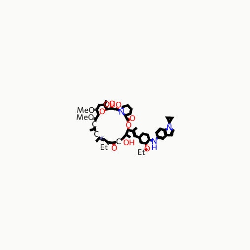 CCOC1CC(C=C(C)C2OC(=O)C3CCCCN3C(=O)C(=O)C3(O)OC(C(OC)CC(C)C/C(C)=C/C(CC)C(=O)CC(O)C2C)C(OC)CC3C)CCC1Nc1ccc2c(ccn2C2CC2)c1